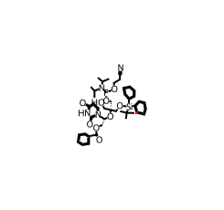 CC(C)N(C(C)C)P(OCCC#N)OC[C@](CO)(CO[Si](c1ccccc1)(c1ccccc1)C(C)(C)C)O[C@H](COC(=O)c1ccccc1)n1ccc(=O)[nH]c1=O